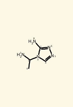 CC(N)n1cnnc1N